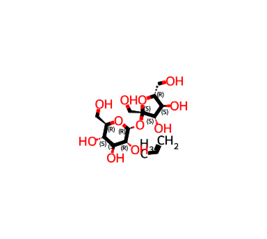 C=CC.OC[C@H]1O[C@@](CO)(O[C@H]2O[C@H](CO)[C@@H](O)[C@H](O)[C@H]2O)[C@@H](O)[C@@H]1O